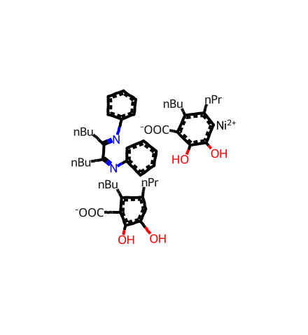 CCCCC(=Nc1ccccc1)C(CCCC)=Nc1ccccc1.CCCCc1c(CCC)cc(O)c(O)c1C(=O)[O-].CCCCc1c(CCC)cc(O)c(O)c1C(=O)[O-].[Ni+2]